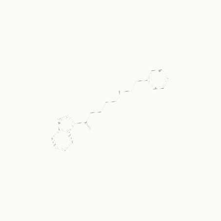 Cl.O=C(CCCCNCCc1ccccc1)c1c[nH]c2ccccc12